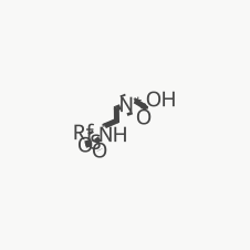 C[N+](C)(CCCN[S](=O)(=O)[Rf])CC(=O)O